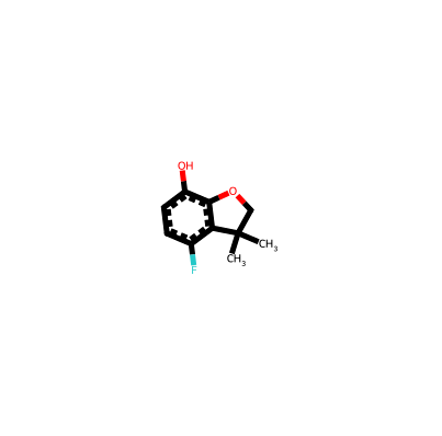 CC1(C)COc2c(O)ccc(F)c21